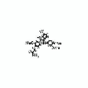 COc1ccc(Nc2c(-c3ccc(OCC(N)=O)c(OC)c3)[nH]c3c(C#N)cnn23)cc1OC